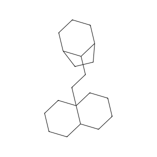 C1CC2CCC(C1)C2CCC12CCCCC1CCCC2